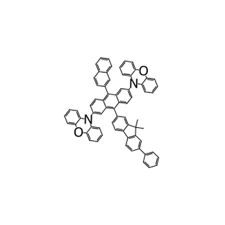 CC1(C)c2cc(-c3ccccc3)ccc2-c2ccc(-c3c4ccc(N5c6ccccc6Oc6ccccc65)cc4c(-c4ccc5ccccc5c4)c4ccc(N5c6ccccc6Oc6ccccc65)cc34)cc21